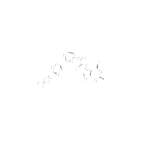 C=C1N(C)C(=O)c2c(ncn2CC(=O)Nc2ccnc(-c3cnc(N4CC(F)(F)C4)nc3)n2)N1C